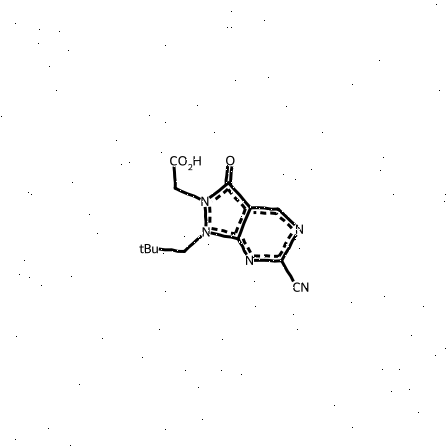 CC(C)(C)Cn1c2nc(C#N)ncc2c(=O)n1CC(=O)O